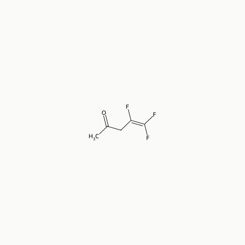 CC(=O)CC(F)=C(F)F